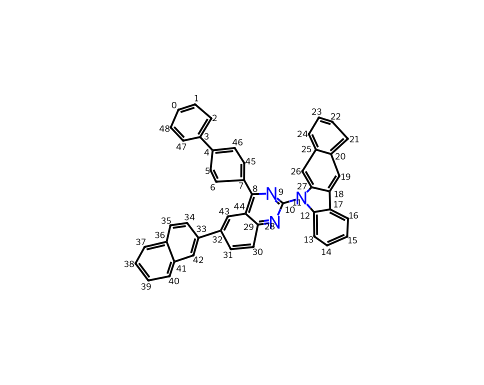 c1ccc(-c2ccc(-c3nc(-n4c5ccccc5c5cc6ccccc6cc54)nc4ccc(-c5ccc6ccccc6c5)cc34)cc2)cc1